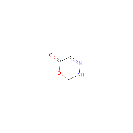 O=C1C=NNCO1